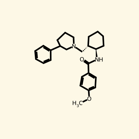 COc1ccc(C(=O)N[C@@H]2CCCC[C@H]2CN2CCCC(c3ccccc3)C2)cc1